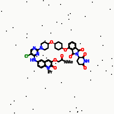 CNC(=O)COc1cc2cc(Nc3nc(N4CCC(O[C@H]5CC[C@H](Oc6cccc7c6C(=O)N(C6CCC(=O)NC6=O)C7=O)CC5)CC4)ncc3Cl)ccc2n(C(C)C)c1=O